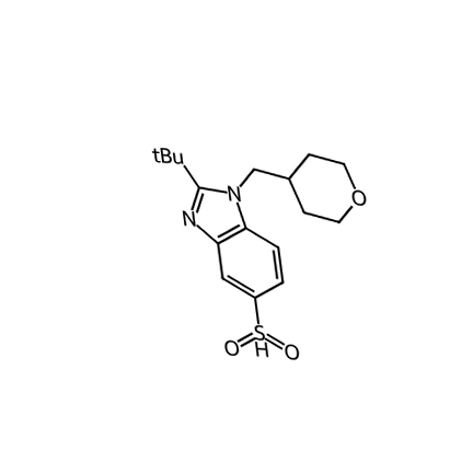 CC(C)(C)c1nc2cc([SH](=O)=O)ccc2n1CC1CCOCC1